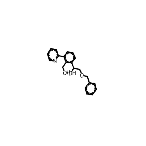 OCc1c(-c2ccccn2)cccc1C(O)COCc1ccccc1